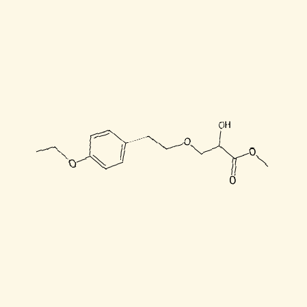 CCOc1ccc(CCOCC(O)C(=O)OC)cc1